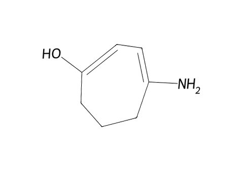 NC1=CC=C(O)CCC1